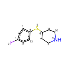 Ic1ccc(SC2CCNCC2)cc1